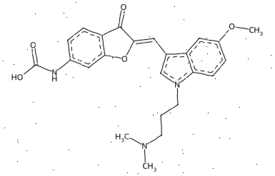 COc1ccc2c(c1)c(/C=C1\Oc3cc(NC(=O)O)ccc3C1=O)cn2CCCN(C)C